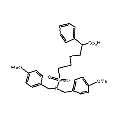 COc1ccc(CN(Cc2ccc(OC)cc2)S(=O)(=O)CCCCC(C(=O)O)c2ccccc2)cc1